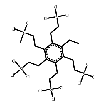 CCc1c(CC[Si](Cl)(Cl)Cl)c(CC[Si](Cl)(Cl)Cl)c(CC[Si](Cl)(Cl)Cl)c(CC[Si](Cl)(Cl)Cl)c1CC[Si](Cl)(Cl)Cl